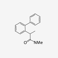 CNC(=O)C(C)c1ccccc1-c1ccccc1